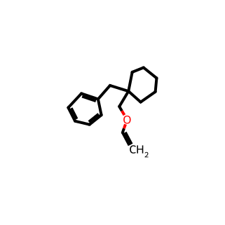 C=COCC1(Cc2ccccc2)CCCCC1